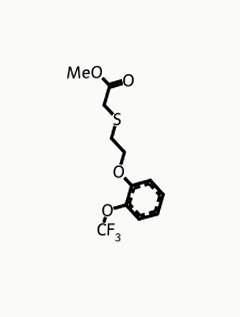 COC(=O)CSCCOc1ccccc1OC(F)(F)F